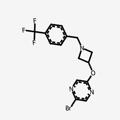 FC(F)(F)c1ccc(CN2CC(Oc3cnc(Br)cn3)C2)cc1